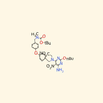 CCCCOc1nc(N)c([N+](=O)[O-])c(N(CC(=O)O)Cc2ccc(Oc3ccc(CN(C)C(=O)OC(C)(C)C)cc3)cc2)n1